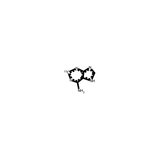 Nc1n[13cH]nc2nc[nH]c12